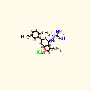 Cc1ccc(C)c(C2C/C(=N\NC(=N)N)c3c(C)coc3C2)c1.Cl